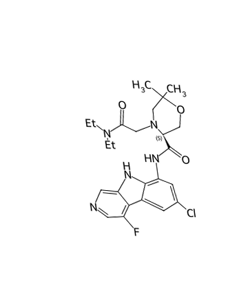 CCN(CC)C(=O)CN1CC(C)(C)OC[C@H]1C(=O)Nc1cc(Cl)cc2c1[nH]c1cncc(F)c12